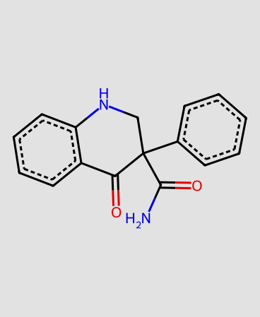 NC(=O)C1(c2ccccc2)CNc2ccccc2C1=O